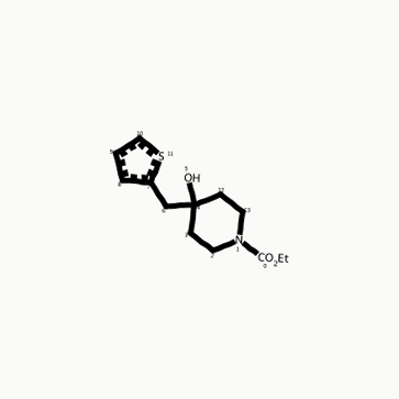 CCOC(=O)N1CCC(O)(Cc2cccs2)CC1